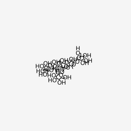 CC1OC(COC2OC(CO)C(O)C(O)C2O)C(O)C(OC2OC(CO)C(O)C(OC3OC(COC4OC(CO)C(O)C(O)C4O)[C@@H](O)C(OC4OC(CO)C(O)C(O)C4O)C3O)C2O)C1O